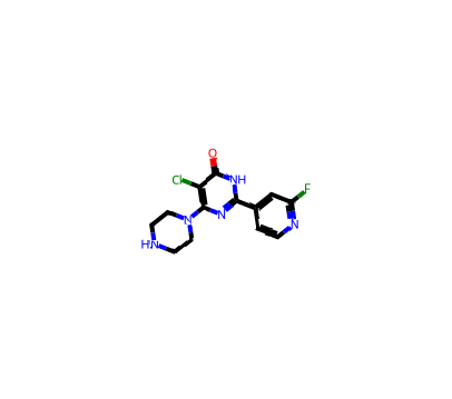 O=c1[nH]c(-c2ccnc(F)c2)nc(N2CCNCC2)c1Cl